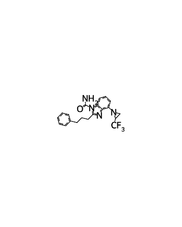 NC(=O)n1c(CCCc2ccccc2)nc2c(N3CC3C(F)(F)F)cccc21